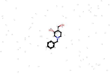 OC[C@H]1CCN(Cc2ccccc2)C[C@H]1O